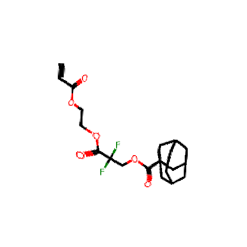 C=CC(=O)OCCOC(=O)C(F)(F)COC(=O)C12CC3CC(CC(C3)C1)C2